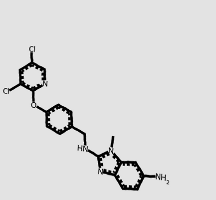 Cn1c(NCc2ccc(Oc3ncc(Cl)cc3Cl)cc2)nc2ccc(N)cc21